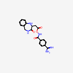 N=C(N)c1ccc(C(=O)NOC(=O)CC2Nc3ccccc3CNC2=O)cc1